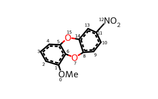 COc1cccc2c1Oc1ccc([N+](=O)[O-])cc1O2